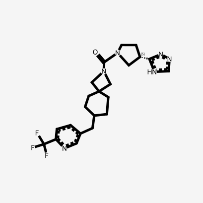 O=C(N1CC[C@H](c2nnc[nH]2)C1)N1CC2(CCC(Cc3ccc(C(F)(F)F)nc3)CC2)C1